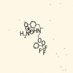 COc1ccc(CC(C)NCCOc2ccccc2C(=O)C(F)(F)F)cc1S(N)(=O)=O